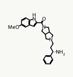 COc1ccc2[nH]c(C(=O)N3CC4CN(CC[C@H](N)c5ccccc5)CC4C3)cc2c1